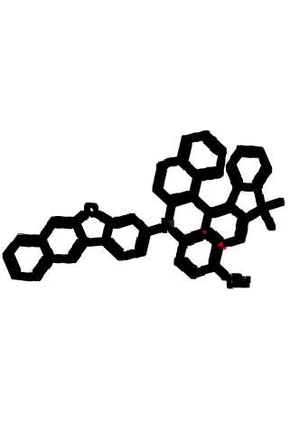 CC(C)(C)c1ccc(N(c2ccc3c(c2)oc2cc4ccccc4cc23)c2ccc3ccccc3c2-c2cccc3c2-c2ccccc2C3(C)C)cc1